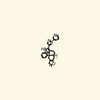 C[C@@H]1c2oncc2C[C@]2(c3ccccc3)c3n[nH]c(-c4cnn(-c5cccnc5)c4)c3CC[C@@H]12